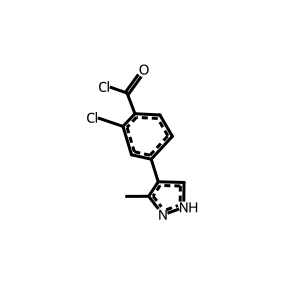 Cc1n[nH]cc1-c1ccc(C(=O)Cl)c(Cl)c1